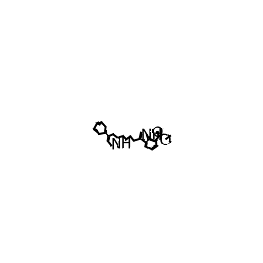 COC(=O)c1cccc2c(CCCCC3CC(c4ccccc4)=CCN3)c[nH]c12